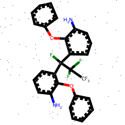 Nc1cccc(C(F)(c2cccc(N)c2Oc2ccccc2)C(F)(F)C(F)(F)F)c1Oc1ccccc1